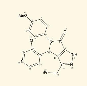 COc1ccc(N2C(=O)c3[nH]nc(CC(C)C)c3C2c2ccncc2Cl)cc1